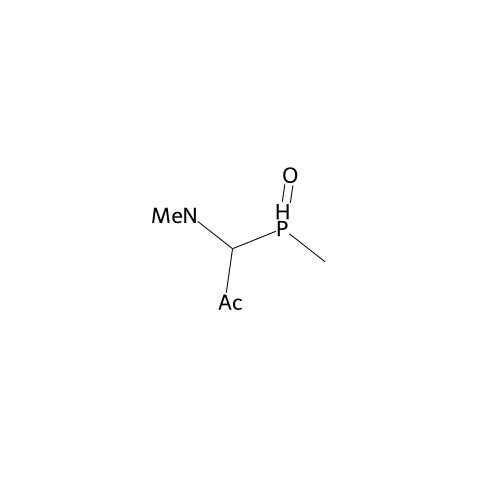 CNC(C(C)=O)[PH](C)=O